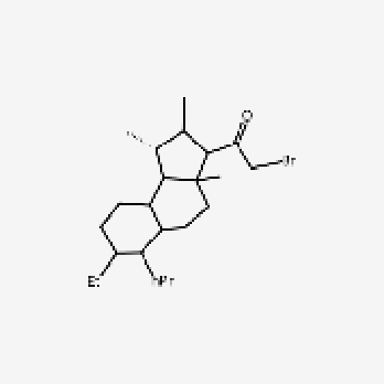 CCCC1C(CC)CCC2C1CCC1(C)C(C(=O)CBr)C(C)[C@@H](C)C21